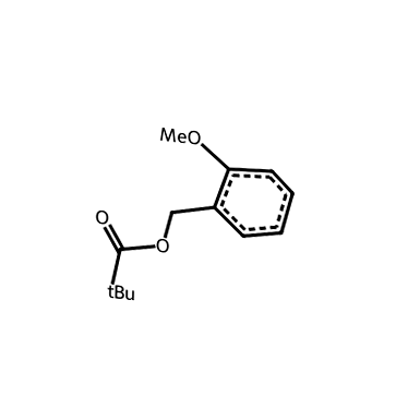 COc1ccccc1COC(=O)C(C)(C)C